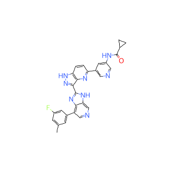 Cc1cc(F)cc(-c2cncc3[nH]c(-c4n[nH]c5ccc(-c6cncc(NC(=O)C7CC7)c6)nc45)nc23)c1